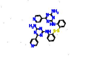 Nc1nc(Nc2ccccc2SSc2ccccc2Nc2nc(N)nc(-c3ccncc3)n2)nc(-c2ccncc2)n1